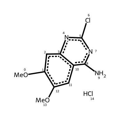 COc1cc2nc(Cl)nc(N)c2cc1OC.Cl